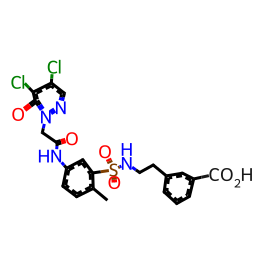 Cc1ccc(NC(=O)Cn2ncc(Cl)c(Cl)c2=O)cc1S(=O)(=O)NCCc1cccc(C(=O)O)c1